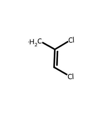 [CH2]C(Cl)=CCl